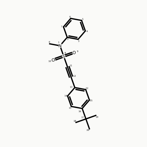 CN(c1ccccc1)S(=O)(=O)C#Cc1ccc(C(C)(C)C)cc1